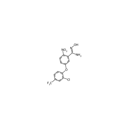 NC(=NO)c1cc(Oc2ccc(C(F)(F)F)cc2Cl)ccc1[N+](=O)[O-]